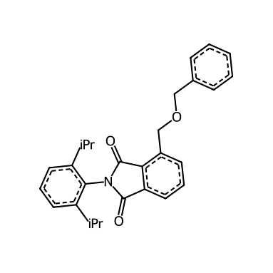 CC(C)c1cccc(C(C)C)c1N1C(=O)c2cccc(COCc3ccccc3)c2C1=O